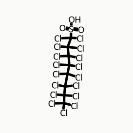 O=S(=O)(O)C(Cl)(Cl)C(Cl)(Cl)C(Cl)(Cl)C(Cl)(Cl)C(Cl)(Cl)C(Cl)(Cl)C(Cl)(Cl)C(Cl)(Cl)Cl